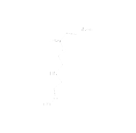 CCCCCCCCCCCC(=O)OCCNCCOCCC